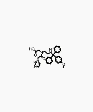 COc1ccc(C(NCCN(CC(=O)O)C(=O)Cn2ccnn2)(c2ccccc2)c2ccccc2)cc1